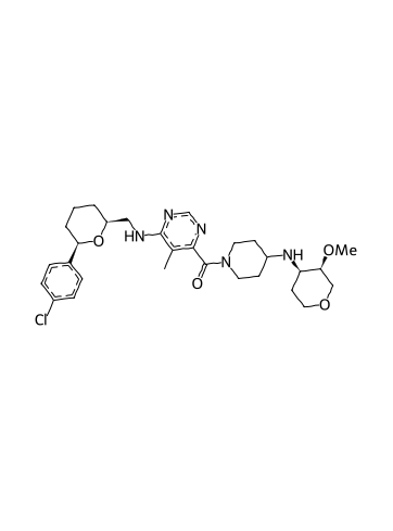 CO[C@H]1COCC[C@H]1NC1CCN(C(=O)c2ncnc(NC[C@@H]3CCC[C@H](c4ccc(Cl)cc4)O3)c2C)CC1